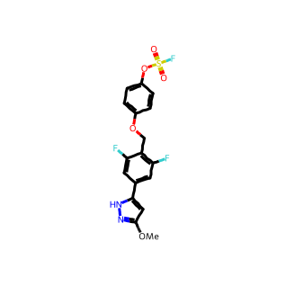 COc1cc(-c2cc(F)c(COc3ccc(OS(=O)(=O)F)cc3)c(F)c2)[nH]n1